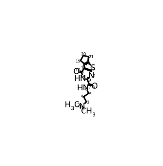 CN(C)CCCNC(=O)c1nc2sc3c(c2c(=O)[nH]1)CCC3